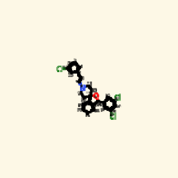 Clc1cccc(CCN2CCC3(CC2)OC(c2cc(Cl)cc(Cl)c2)c2ccccc23)c1